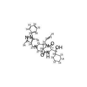 CC#CCN1C(=O)C(C(O)C2CCCCC2)NC(=O)C12CCN(Cc1c(C)nn(-c3ccccc3)c1C)CC2